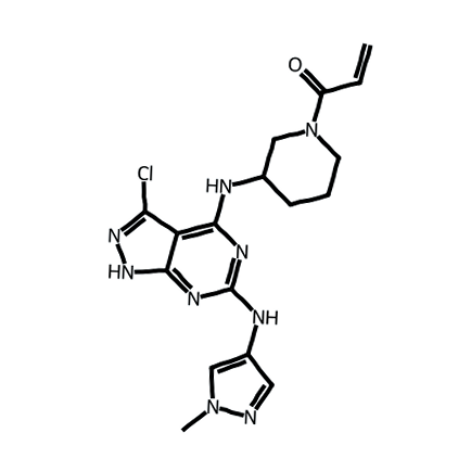 C=CC(=O)N1CCCC(Nc2nc(Nc3cnn(C)c3)nc3[nH]nc(Cl)c23)C1